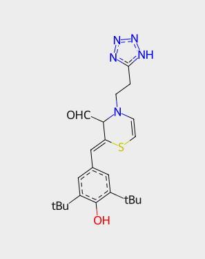 CC(C)(C)c1cc(C=C2SC=CN(CCc3nnn[nH]3)C2C=O)cc(C(C)(C)C)c1O